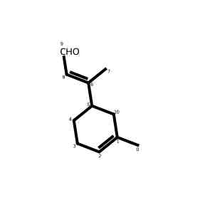 CC1=CCCC(C(C)=CC=O)C1